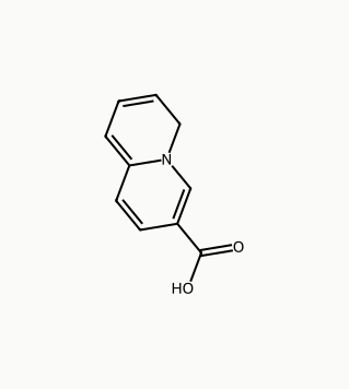 O=C(O)C1=CN2CC=CC=C2C=C1